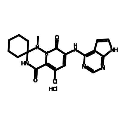 CN1n2c(c(Cl)cc(Nc3ncnc4[nH]ccc34)c2=O)C(=O)NC12CCCCC2.Cl